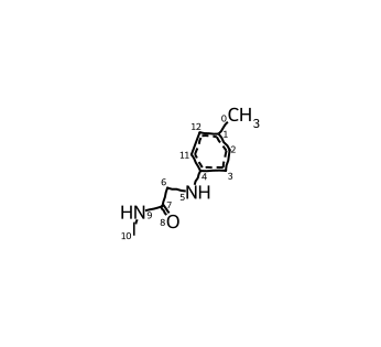 Cc1ccc(NCC(=O)NI)cc1